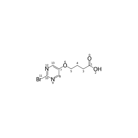 O=C(O)CCCOc1cnc(Br)nc1